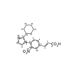 O=C(O)/C=C/c1ccc(-n2ccnc2C2CCCCC2)c([N+](=O)[O-])c1